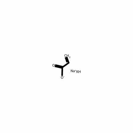 C=CC(=O)[O-].[KH].[Na+]